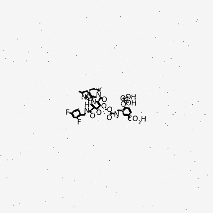 CC1=NO[C@@]2(CC[C@H](C)N3C[C@H]2n2cc(C(=O)NCc4ccc(F)cc4F)c(=O)c(OCOC(=O)N(C)Cc4cc(C(=O)O)ccc4OP(=O)(O)O)c2C3=O)C1